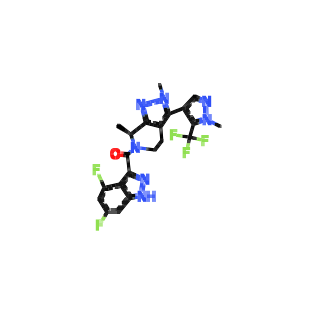 C[C@H]1c2nn(C)c(-c3cnn(C)c3C(F)(F)F)c2CCN1C(=O)c1n[nH]c2cc(F)cc(F)c12